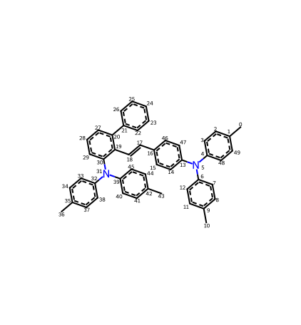 Cc1ccc(N(c2ccc(C)cc2)c2ccc(C=Cc3c(-c4ccccc4)cccc3N(c3ccc(C)cc3)c3ccc(C)cc3)cc2)cc1